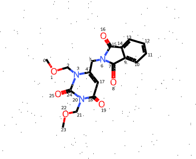 COCn1c(CN2C(=O)c3ccccc3C2=O)cc(=O)n(COC)c1=O